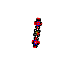 O=S12(c3cc(-c4ccc(N5c6ccccc6N(c6ccccc6)c6ccccc65)cc4)ccc3-c3ccc(-c4ccc(N5c6ccccc6N(c6ccccc6)c6ccccc65)cc4)cc31)c1cc(-c3ccc(N4c5ccccc5N(c5ccccc5)c5ccccc54)cc3)ccc1-c1ccc(-c3ccc(N4c5ccccc5N(c5ccccc5)c5ccccc54)cc3)cc12